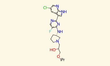 CC(C)OCC(O)CN1CCC[C@H](Nc2nc(-c3c[nH]c4ncc(Cl)cc34)ncc2F)C1